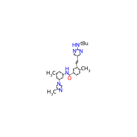 Cc1cc(NC(=O)c2ccc(C)c(C#Cc3cnc(NC(C)(C)C)nc3)c2)cc(-n2cnc(C)c2)c1